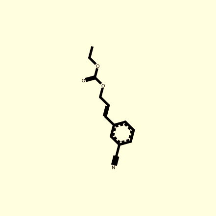 CCOC(=O)OC/C=C/c1cccc(C#N)c1